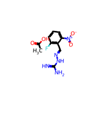 CC(=O)O.N=C(N)N/N=C/c1c(F)cccc1[N+](=O)[O-]